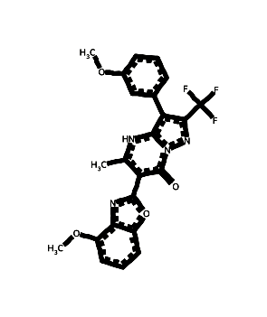 COc1cccc(-c2c(C(F)(F)F)nn3c(=O)c(-c4nc5c(OC)cccc5o4)c(C)[nH]c23)c1